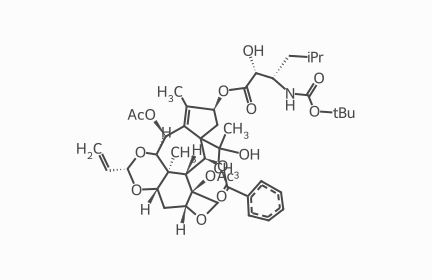 C=C[C@H]1O[C@H]2C[C@H]3OC[C@@]3(OC(C)=O)[C@H]3[C@H](OC(=O)c4ccccc4)C4(C(C)(C)O)C[C@H](OC(=O)[C@H](O)[C@H](CC(C)C)NC(=O)OC(C)(C)C)C(C)=C4[C@H](OC(C)=O)[C@H](O1)[C@]23C